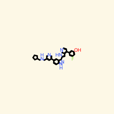 Oc1cc(F)cc(-c2ccnc3[nH]c(-c4n[nH]c5ccc(-c6cncc(CNCC7CCCC7)c6)cc45)cc23)c1